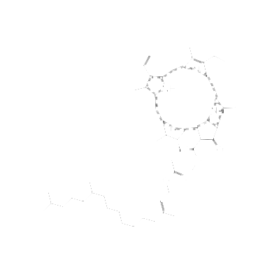 C=Cc1c(C)c2cc3nc(c4c5[nH]c(cc6nc(cc1[nH]2)C(C)=C6CC)c(C)c5C(=O)C4C(=O)OC)[C@@H](CCC(=O)OC/C=C(\C)CCC[C@H](C)CCCC(C)CCCC(C)C)C3C